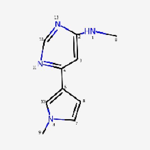 CNc1cc(-c2ccn(C)c2)ncn1